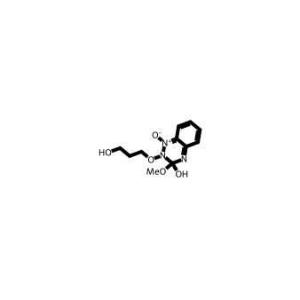 COC1(O)N=c2ccccc2=[N+]([O-])N1OCCCO